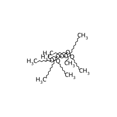 CCCCCCCCCCC(OCCCCCCCC)=C(OCCCCCCCC)C(CCC)OCOCOC(CCC)C(OCCCCCCCC)=C(CCCCCCCCCC)OCCCCCCCC